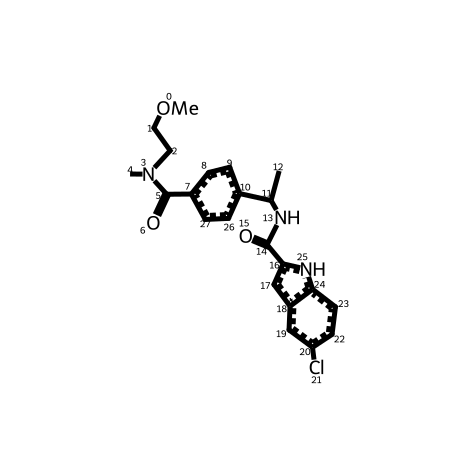 COCCN(C)C(=O)c1ccc(C(C)NC(=O)c2cc3cc(Cl)ccc3[nH]2)cc1